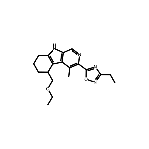 CCOCC1CCCc2[nH]c3cnc(-c4nc(CC)no4)c(C)c3c21